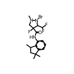 CC1CC(C)(C)c2cccc(NC(=O)C3(F)CN(C)N(Br)C3C(F)F)c21